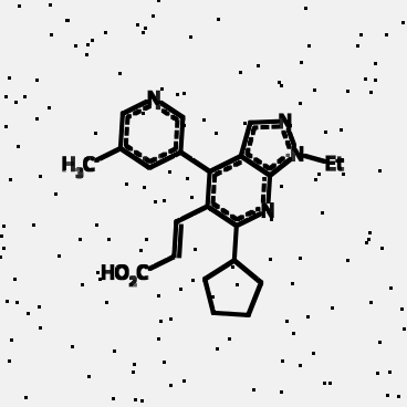 CCn1ncc2c(-c3cncc(C)c3)c(/C=C/C(=O)O)c(C3CCCC3)nc21